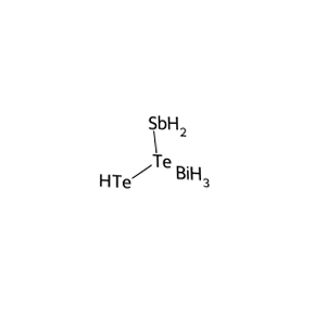 [BiH3].[SbH2][Te][TeH]